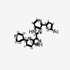 CC(=O)c1ccc(-c2nccc3[nH]c(-c4n[nH]c5ccc(-c6ccncc6)nc45)nc23)s1